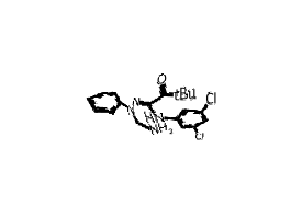 CC(C)(C)C(=O)C(=NN(CN)c1ccccc1)Nc1cc(Cl)cc(Cl)c1